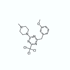 COc1cccc(Cc2nc(N3CCN(C)CC3)nc(C(Cl)(Cl)Cl)n2)c1